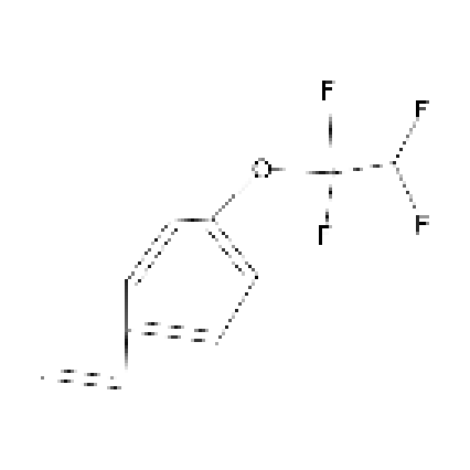 [CH]=Cc1ccc(OC(F)(F)C(F)F)cc1